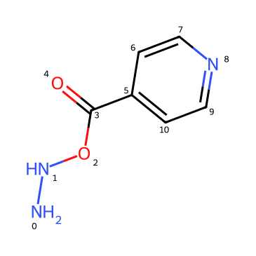 NNOC(=O)c1ccncc1